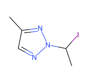 Cc1cnn(C(C)I)n1